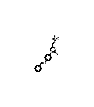 CS(=O)(=O)OCC1CN(c2ccc(OCc3ccccc3)cc2)C(=O)O1